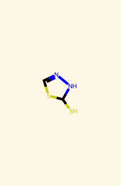 S[C]1NN=CS1